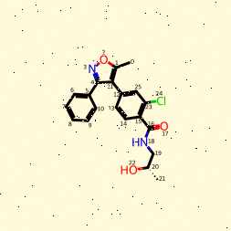 Cc1onc(-c2ccccc2)c1-c1ccc(C(=O)NC[C@H](C)O)c(Cl)c1